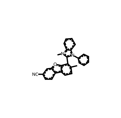 Cc1ccc2c(oc3cc(C#N)ccc32)c1-c1n(-c2ccccc2)c2ccccc2[n+]1C